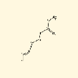 C/C=C/CCCC(=O)CC(C)=O